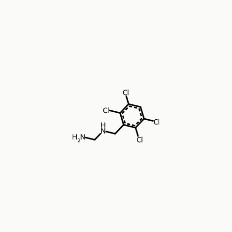 NCNCc1c(Cl)c(Cl)cc(Cl)c1Cl